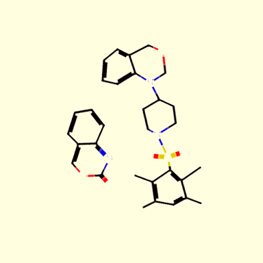 Cc1cc(C)c(C)c(S(=O)(=O)N2CCC(N3COCc4ccccc43)CC2)c1C.O=c1nc2ccccc2co1